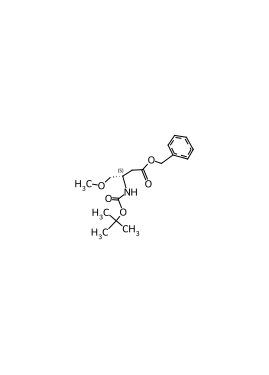 COC[C@H](CC(=O)OCc1ccccc1)NC(=O)OC(C)(C)C